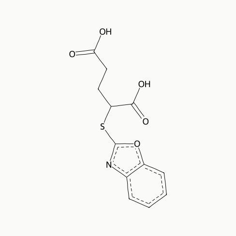 O=C(O)CCC(Sc1nc2ccccc2o1)C(=O)O